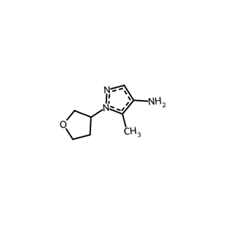 Cc1c(N)cnn1C1CCOC1